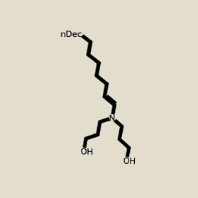 CCCCCCCCCCCCCCCC=CN(CCCO)CCCO